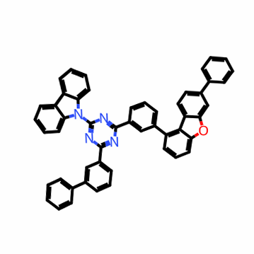 c1ccc(-c2cccc(-c3nc(-c4cccc(-c5cccc6oc7cc(-c8ccccc8)ccc7c56)c4)nc(-n4c5ccccc5c5ccccc54)n3)c2)cc1